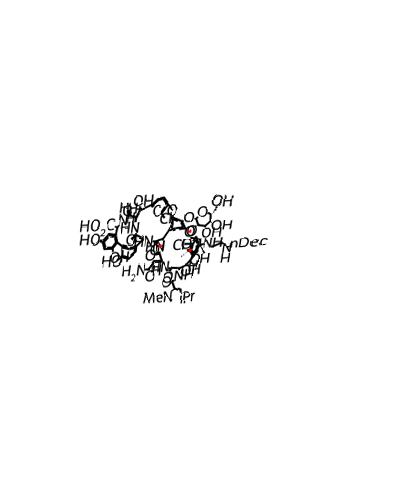 CCCCCCCCCCNCCN[C@@]1(C)C[C@H](O[C@H]2[C@H](Oc3c4cc5cc3Oc3ccc(cc3Cl)[C@@H](O)[C@@H]3NC(=O)C(NC(=O)[C@@H]5NC(=O)[C@H](CC(N)=O)NC(=O)C(NC(=O)[C@@H](CC(C)C)NC)[C@H](O)c5ccc(c(Cl)c5)O4)c4ccc(O)c(c4)-c4c(O)cc(O)cc4[C@@H](C(=O)O)NC3=O)O[C@H](CO)[C@@H](O)[C@@H]2O)O[C@@H](C)[C@H]1O